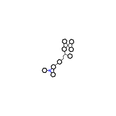 c1ccc(C(CCc2ccc(-c3ccc4c(c3)c3ccccc3n4-c3ccccc3)cc2)c2ccc3c(c2)C2(c4ccccc4-c4ccccc42)c2ccccc2-3)cc1